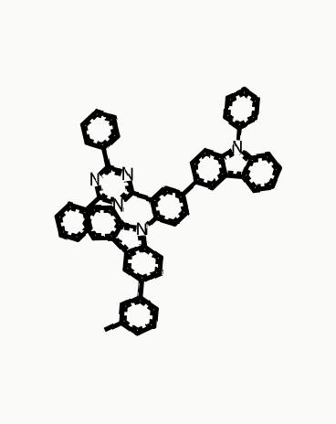 Cc1cccc(-c2ccc3c(c2)c2ccccc2n3-c2ccc(-c3ccc4c(c3)c3ccccc3n4-c3ccccc3)cc2-c2nc(-c3ccccc3)nc(-c3ccccc3)n2)c1